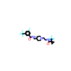 O=C(NCC1CCN(CCNC(=O)C2(C(F)(F)F)CC2)CC1)c1cc(F)cc(C(F)(F)F)c1